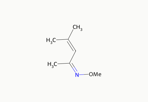 [CH2]ON=C(C)C=C(C)C